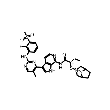 CC[C@H](SN1CC2CCC(C1)N2C)C(=O)Nc1nccc2c(-c3nc(Nc4cccc(S(C)(=O)=O)c4F)ncc3C)c[nH]c12